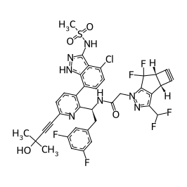 CC(C)(O)C#Cc1ccc(-c2ccc(Cl)c3c(NS(C)(=O)=O)n[nH]c23)c([C@H](Cc2cc(F)cc(F)c2)NC(=O)Cn2nc(C(F)F)c3c2C(F)(F)[C@@H]2C#C[C@H]32)n1